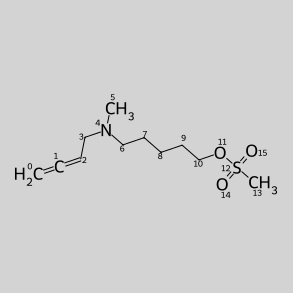 C=C=CCN(C)CCCCCOS(C)(=O)=O